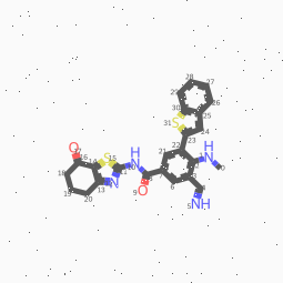 CNc1c(C=N)cc(C(=O)Nc2nc3c(s2)C(=O)CCC3)cc1-c1cc2ccccc2s1